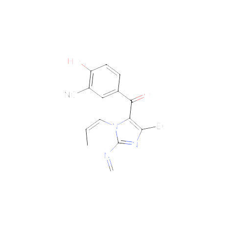 C=Nc1nc(CC)c(C(=O)c2ccc(O)c(C#N)c2)n1/C=C\C